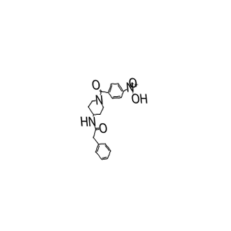 O=C(Cc1ccccc1)NC1CCN(C(=O)c2ccc([N+](=O)O)cc2)CC1